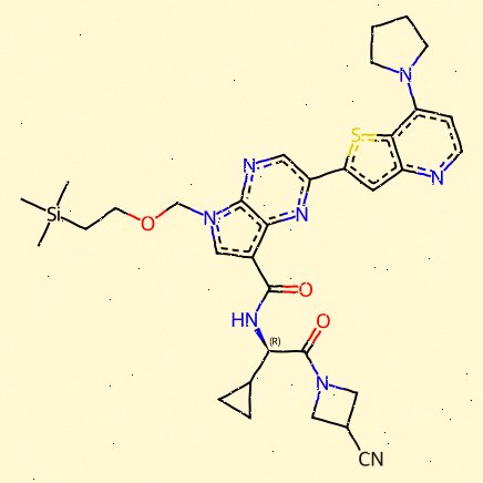 C[Si](C)(C)CCOCn1cc(C(=O)N[C@@H](C(=O)N2CC(C#N)C2)C2CC2)c2nc(-c3cc4nccc(N5CCCC5)c4s3)cnc21